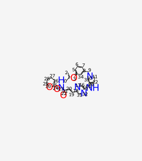 CC(C)Oc1cccc(CN2CC[C@@H](Nc3cnc(C=CC(=O)NOC4CCCCO4)cn3)C2)c1